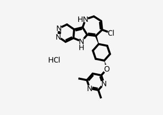 Cc1cc(O[C@H]2CC[C@H](C3=c4[nH]c5c(c4NCC=C3Cl)CN=NC=5)CC2)nc(C)n1.Cl